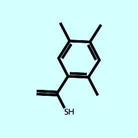 C=C(S)c1cc(C)c(C)cc1C